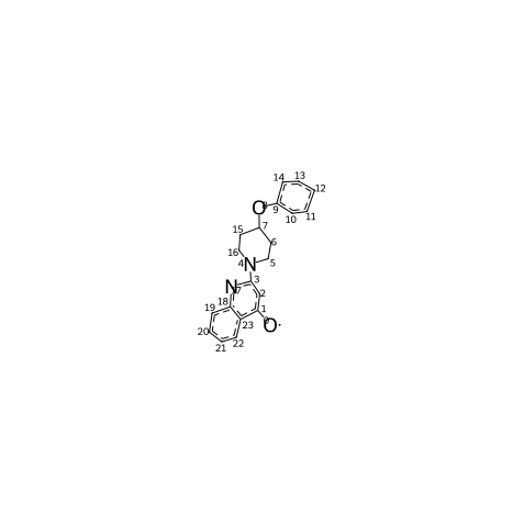 [O]c1cc(N2CCC(Oc3ccccc3)CC2)nc2ccccc12